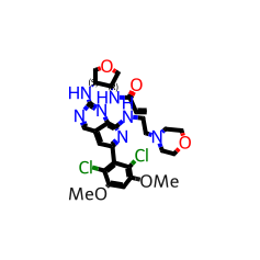 C=CC(=O)N[C@H]1COC[C@H]1Nc1ncc2cc(-c3c(Cl)c(OC)cc(OC)c3Cl)nc(NCCN3CCOCC3)c2n1